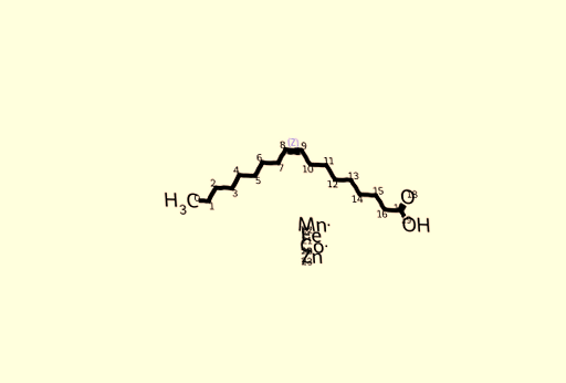 CCCCCCCC/C=C\CCCCCCCC(=O)O.[Co].[Fe].[Mn].[Zn]